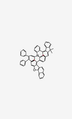 CC1(C)c2ccccc2-c2c(-c3ccccc3N(c3ccc(-c4ccccc4)c(-c4ccccc4)c3)c3ccccc3-c3cccc4oc5c6ccccc6ccc5c34)cccc21